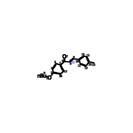 CCCCOc1ccc(C(=O)/C=C/c2ccc(C)cc2)cc1